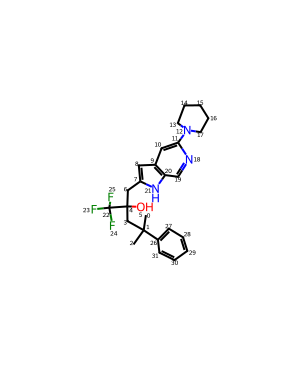 CC(C)(CC(O)(Cc1cc2cc(N3CCCCC3)ncc2[nH]1)C(F)(F)F)c1ccccc1